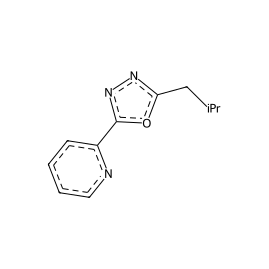 CC(C)Cc1nnc(-c2ccccn2)o1